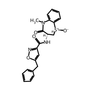 CN1C(=O)[C@@H](NC(=O)c2cc(Cc3ccccc3)on2)C[S@+]([O-])c2ccccc21